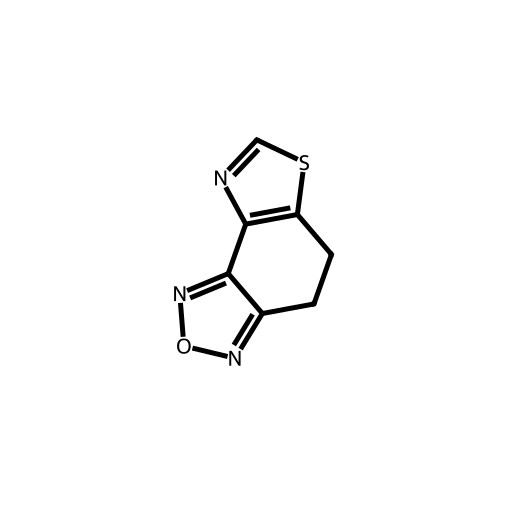 c1nc2c(s1)CCc1nonc1-2